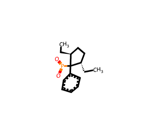 CC[C@H]1CC[C@H](CC)C1(c1ccccc1)P(=O)=O